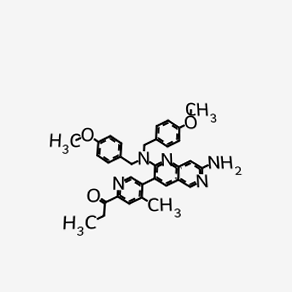 CCC(=O)c1cc(C)c(-c2cc3cnc(N)cc3nc2N(Cc2ccc(OC)cc2)Cc2ccc(OC)cc2)cn1